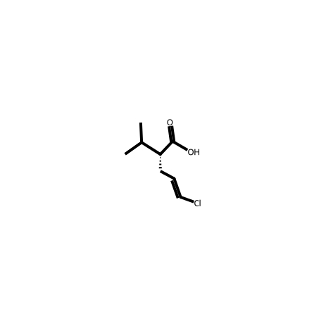 CC(C)[C@@H](CC=CCl)C(=O)O